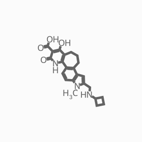 Cn1c(CNC2CCC2)cc2c3c(ccc21)-c1[nH]c(=O)c(C(=O)O)c(O)c1CCC3